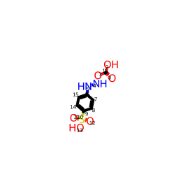 O=C(O)ONNc1ccc(S(=O)(=O)O)cc1